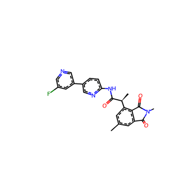 Cc1cc2c(c([C@H](C)C(=O)Nc3ccc(-c4cncc(F)c4)cn3)c1)C(=O)N(C)C2=O